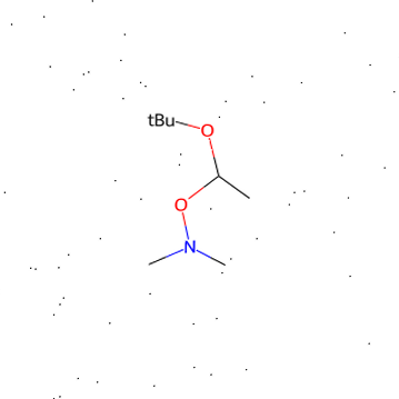 CC(ON(C)C)OC(C)(C)C